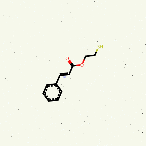 O=C(/C=C/c1ccccc1)OCCS